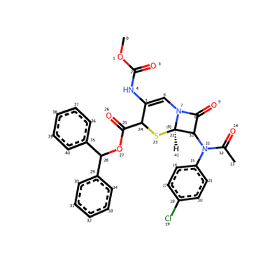 COC(=O)NC1=CN2C(=O)C(N(C(C)=O)c3ccc(Cl)cc3)[C@H]2SC1C(=O)OC(c1ccccc1)c1ccccc1